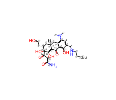 CN(C)c1cc(CNCCC(C)(C)C)c(O)c2c1C[C@H]1C[C@@H](CCO)[C@@](O)(C(=O)CC(N)=O)C(O)=C1C2=O